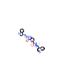 O=C(NN=Cc1ccnc2ccccc12)c1cccc(C(=O)NN=Cc2ccnc3ccccc23)n1